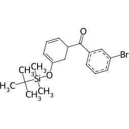 CC(C)(C)[Si](C)(C)OC1=CC=CC(C(=O)c2cccc(Br)c2)C1